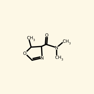 CC1OC=NC1C(=O)N(C)C